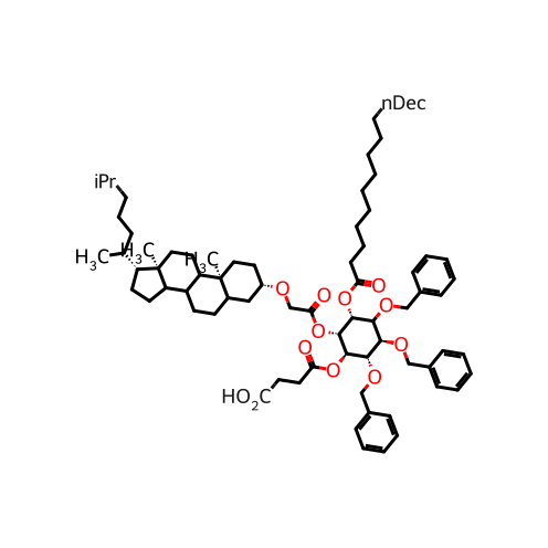 CCCCCCCCCCCCCCCCCCCC(=O)O[C@@H]1C(OCc2ccccc2)[C@@H](OCc2ccccc2)[C@H](OCc2ccccc2)[C@@H](OC(=O)CCC(=O)O)[C@@H]1OC(=O)CO[C@H]1CC[C@@]2(C)C(CCC3C2CC[C@@]2(C)C3CC[C@@H]2C(C)CCCC(C)C)C1